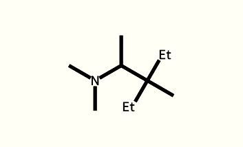 CCC(C)(CC)C(C)N(C)C